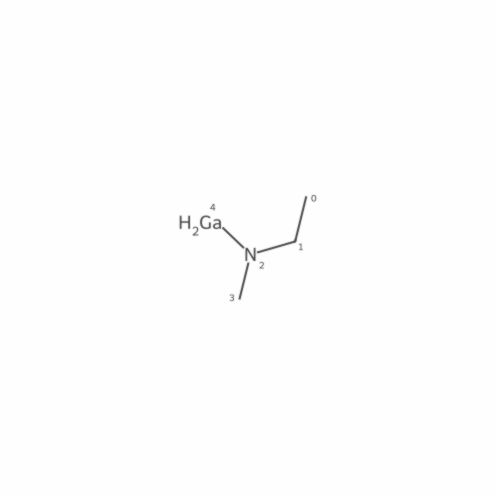 CC[N](C)[GaH2]